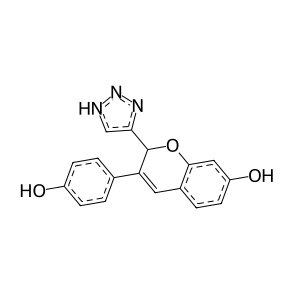 Oc1ccc(C2=Cc3ccc(O)cc3OC2c2c[nH]nn2)cc1